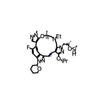 CCN1Cc2c(c(OC(C)C)nn2C[C@H](C)O[SiH](C)C)/C=C/c2nn(C3CCCCO3)c3cc(F)c(cc23)-c2cnn(C)c2O[C@@H](C)C1